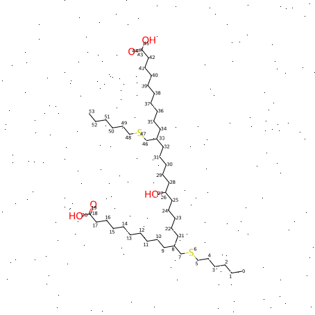 CCCCCCSCC(CCCCCCCCCC(=O)O)CCCCCC(O)CCCCCC(CCCCCCCCCC(=O)O)CSCCCCCC